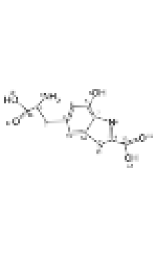 NC(Cc1cc(O)c2nc(C(=O)O)sc2c1)C(=O)O